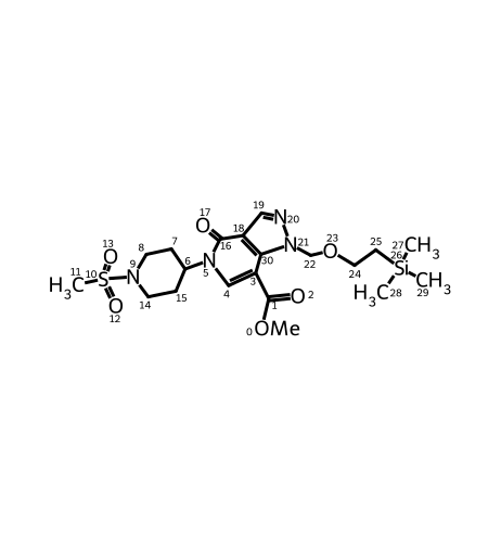 COC(=O)c1cn(C2CCN(S(C)(=O)=O)CC2)c(=O)c2cnn(COCC[Si](C)(C)C)c12